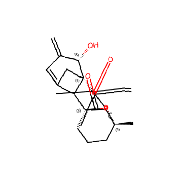 C=C1C(=O)[C@]23CC(=CC(=C)[C@@H]2O)C3[C@@]23CCC[C@@](C)(COC2=O)C13